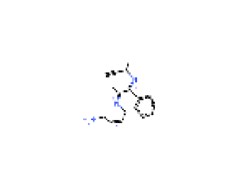 C#CC(C)/N=C(\C(C)=N/C/C=C\CN)c1ccccc1